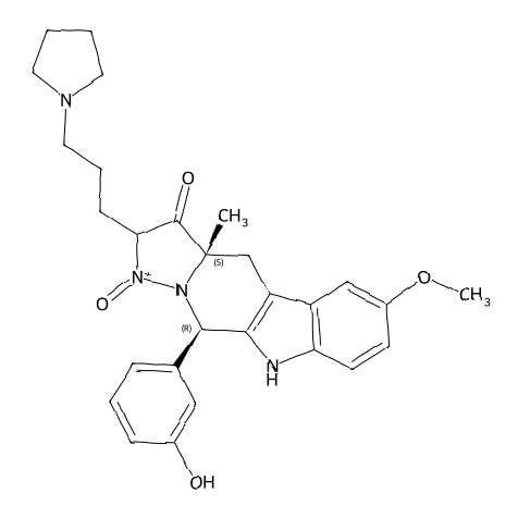 COc1ccc2[nH]c3c(c2c1)C[C@@]1(C)C(=O)C(CCCN2CCCC2)[N+](=O)N1[C@@H]3c1cccc(O)c1